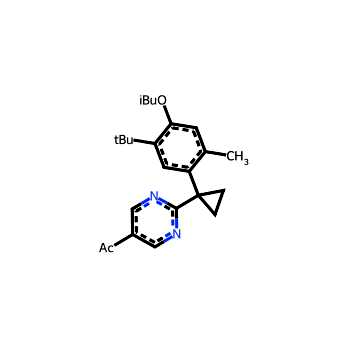 CC(=O)c1cnc(C2(c3cc(C(C)(C)C)c(OCC(C)C)cc3C)CC2)nc1